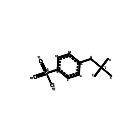 CC(C)(C)Cc1ccc(S(=O)(=O)Cl)cc1